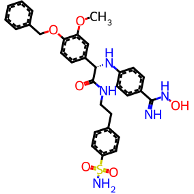 COc1cc([C@H](Nc2ccc(C(=N)NO)cc2)C(=O)NCCc2ccc(S(N)(=O)=O)cc2)ccc1OCc1ccccc1